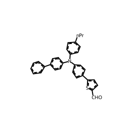 CCCc1ccc(N(c2ccc(-c3ccccc3)cc2)c2ccc(-c3ccc(C=O)s3)cc2)cc1